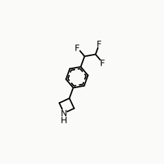 FC(F)C(F)c1ccc(C2CNC2)cc1